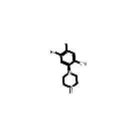 Cc1cc(C#N)c(N2CCNCC2)cc1Br